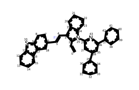 C=Cc1c(/C=C/c2ccc3sc4ccccc4c3c2)c2ccccc2n1-c1cc(-c2ccccc2)cc(-c2ccccc2)n1